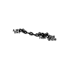 COc1cc(C(=O)Nc2ccc(C(=O)Oc3ccc(C#Cc4ccc(C#Cc5ccc(OC(=O)c6ccc(NC(C)=O)c(OC)c6)cc5)cc4)cc3)cc2CO)c(OC)cc1O